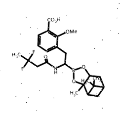 COc1c(CC(NC(=O)CC(C)(F)F)B2OC3CC4CC(C4(C)C)C3(C)O2)cccc1C(=O)O